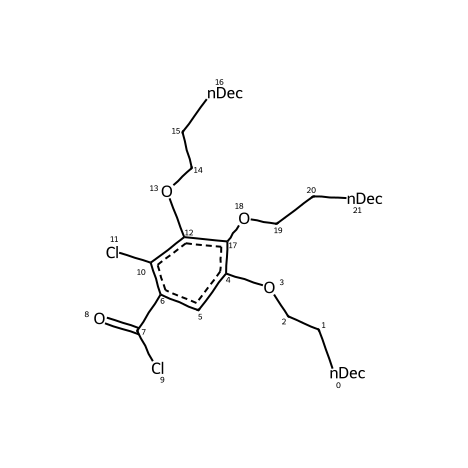 CCCCCCCCCCCCOc1cc(C(=O)Cl)c(Cl)c(OCCCCCCCCCCCC)c1OCCCCCCCCCCCC